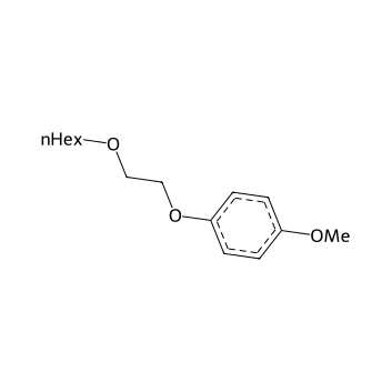 C[CH]CCCCOCCOc1ccc(OC)cc1